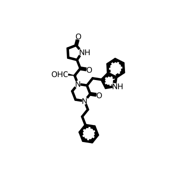 O=C[C@@H](C(=O)C1CCC(=O)N1)N1CCN(CCc2ccccc2)C(=O)C1Cc1c[nH]c2ccccc12